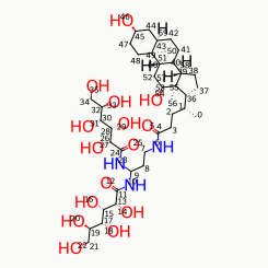 C[C@H](CCC(=O)NCCC(NC(=O)[C@H](O)[C@@H](O)[C@H](O)[C@H](O)CO)NC(=O)[C@H](O)[C@@H](O)[C@H](O)[C@H](O)CO)[C@H]1CC[C@H]2[C@@H]3CC[C@@H]4C[C@H](O)CC[C@]4(C)[C@H]3C[C@H](O)[C@]12C